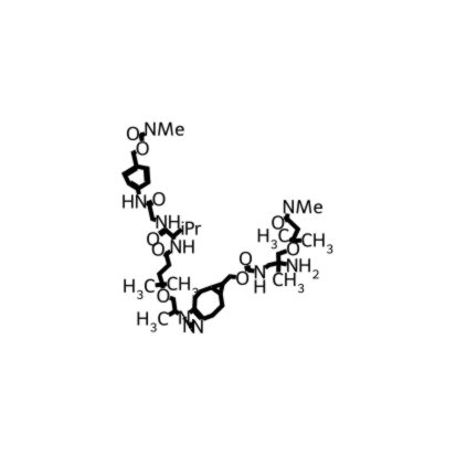 CNC(=O)CC(C)(C)OCC(C)(N)CNC(=O)OCC1C2CCc3nnn(C(C)COC(C)(C)CCC(=O)NC(C(=O)NCC(=O)Nc4ccc(COC(=O)NC)cc4)C(C)C)c3CCC21